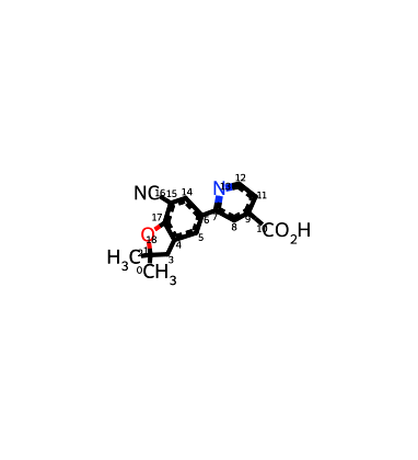 CC1(C)Cc2cc(-c3cc(C(=O)O)ccn3)cc(C#N)c2O1